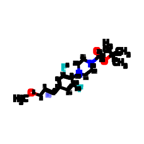 COC/C=C/c1cc(F)c(N2CCN(C(=O)OC(C)(C)C)CC2)c(F)c1